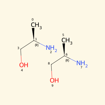 C[C@@H](N)CO.C[C@@H](N)CO